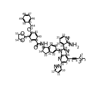 C[Si](C)(C)C#Cc1cc(-n2cccn2)nc2c1nc(-c1cccnc1N)n2-c1ccc2c(c1)CC[C@@H]2NC(=O)c1ccc(OCc2ccccc2)c(C2OCCO2)c1